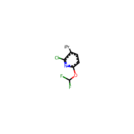 CC(C)c1ccc(OC(F)F)nc1Cl